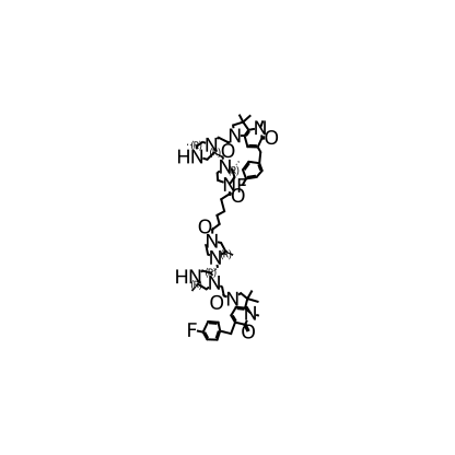 C[C@@H]1CN(CC(=O)N2CC(C)(C)c3c2cc(Cc2ccc(F)cc2)c(=O)n3C)[C@@H](CN2CCN(C(=O)CCCCC(=O)N3CCN(C[C@H]4CN[C@H](C)CN4CC(=O)N4CC(C)(C)c5c4cc(Cc4ccc(F)cc4)c(=O)n5C)[C@H](C)C3)C[C@H]2C)CN1